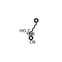 N#Cc1ccc(S(=O)(=O)C(CCCCCc2ccccc2)C(=O)O)cc1